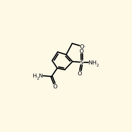 NC(=O)c1ccc(C[O])c(S(N)(=O)=O)c1